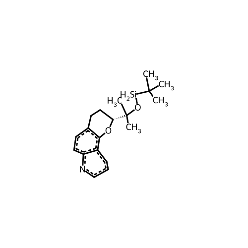 CC(C)(C)[SiH2]OC(C)(C)[C@H]1CCc2ccc3ncccc3c2O1